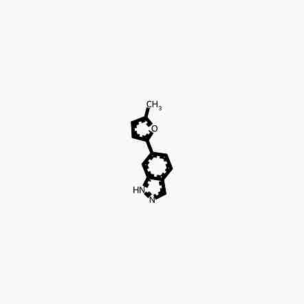 Cc1ccc(-c2ccc3cn[nH]c3c2)o1